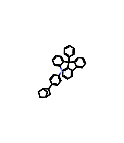 c1ccc(C2(c3ccccc3Nc3ccc(C4CC5CCC4C5)cc3)c3ccccc3-c3ccccc32)cc1